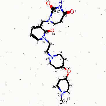 O=C1CCN(Cc2cccn(CCN3CCC(OC4CCN(C(=O)O)CC4)CC3)c2=O)C(=O)N1